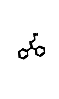 SCN=C(c1ccccc1)c1ccccc1